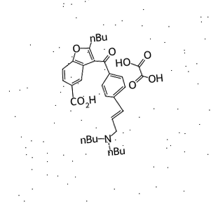 CCCCc1oc2ccc(C(=O)O)cc2c1C(=O)c1ccc(C=CCN(CCCC)CCCC)cc1.O=C(O)C(=O)O